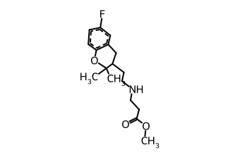 COC(=O)CCNCCC1Cc2cc(F)ccc2OC1(C)C